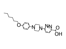 CCCCCCOc1ccc(N2CCN(c3ccc(C(=O)O)nn3)CC2)cc1